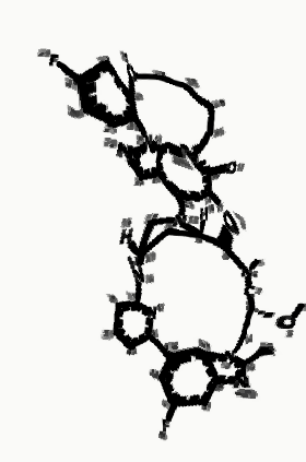 CO[C@H]1CN(C)C(=O)[C@@H]2C[C@@H](CN2c2c(C)c(=O)n3c4c2cnn4-c2ccc(F)cc2OCCCC3)Nc2cccc(n2)-c2cc(F)cc3nc(C)n(c23)C1